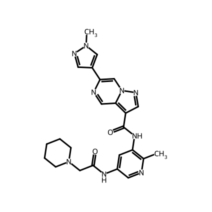 Cc1ncc(NC(=O)CN2CCCCC2)cc1NC(=O)c1cnn2cc(-c3cnn(C)c3)ncc12